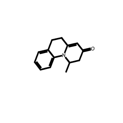 CC1CC(=O)C=C2CCc3ccccc3N21